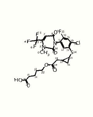 Cn1c(C(F)(F)F)cc(=O)n(-c2cc(SC3CC3CC(=O)OCCCCC(=O)O)c(Cl)cc2F)c1=O